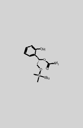 CC(C)(C)[Si](C)(C)OC[C@@H](OC(N)=O)c1ccccc1O